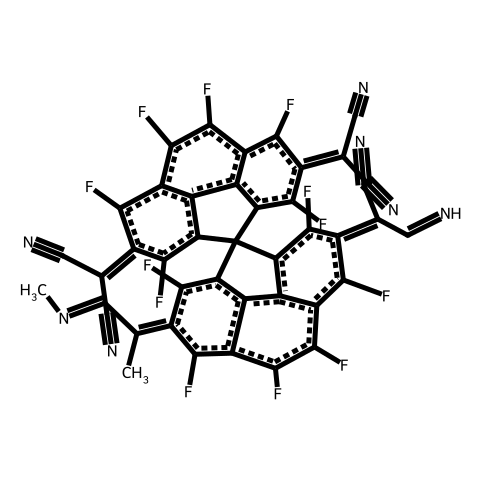 C/N=C/C(C)=c1\c(F)c2c3c(c(F)c(F)c4c(F)/c(=C(/C#N)C=N)c(F)c(c43)C23c2c(F)c(=C(C#N)C#N)c(F)c4c(F)c(F)c5c(F)c(=C(C#N)C#N)c(F)c3c5c24)c1F